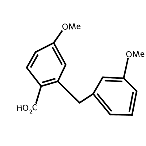 COc1cccc(Cc2cc(OC)ccc2C(=O)O)c1